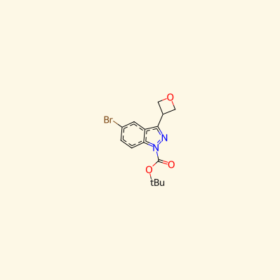 CC(C)(C)OC(=O)n1nc(C2COC2)c2cc(Br)ccc21